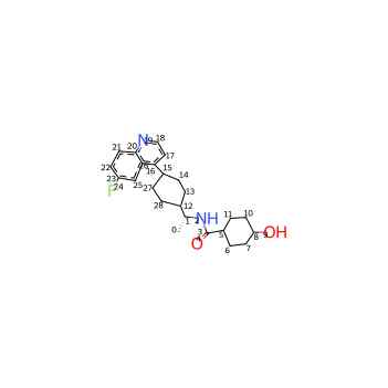 C[C@@H](NC(=O)C1CCC(O)CC1)C1CCC(c2ccnc3ccc(F)cc23)CC1